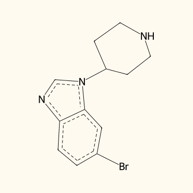 Brc1ccc2ncn(C3CCNCC3)c2c1